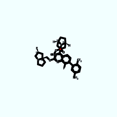 CC(C)(C)OC(=O)N1[C@@H]2CC[C@H]1CN(c1nc(OC[C@@]34CCCN3C[C@H](F)C4)nc3c(F)c(-c4cc(N)ccc4C(F)(F)F)ccc13)C2